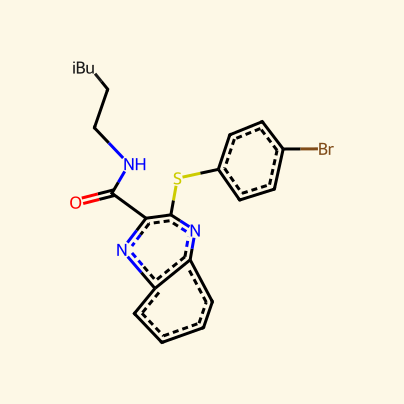 CCC(C)CCNC(=O)c1nc2ccccc2nc1Sc1ccc(Br)cc1